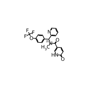 CN(C(=O)c1ccc(=O)[nH]c1)[C@@H](c1ccc(OC(F)(F)F)cc1)c1ccccn1